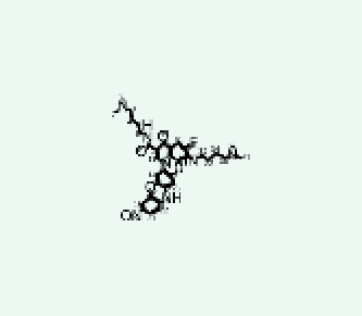 CN(C)CCCCNC(=O)c1cn2c3cc4oc5cc(N=O)ccc5[nH]c4cc3oc3c(NCCCCN(C)C)c(F)cc(c1=O)c32